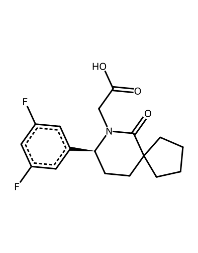 O=C(O)CN1C(=O)C2(CCCC2)CC[C@H]1c1cc(F)cc(F)c1